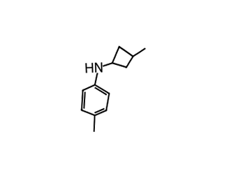 Cc1ccc(NC2CC(C)C2)cc1